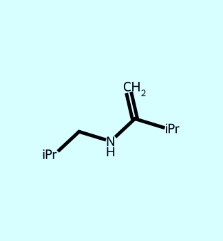 C=C(NCC(C)C)C(C)C